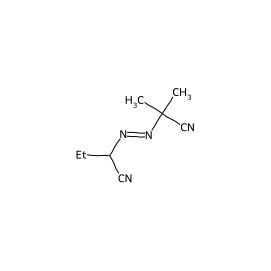 CCC(C#N)N=NC(C)(C)C#N